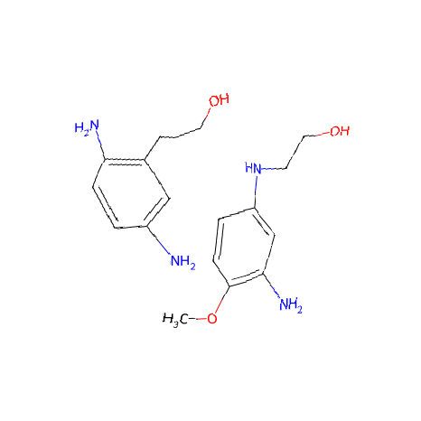 COc1ccc(NCCO)cc1N.Nc1ccc(N)c(CCO)c1